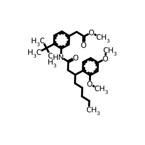 CCCCCC(CC(=O)Nc1cc(CC(=O)OC)ccc1C(C)(C)C)c1ccc(OC)cc1OC